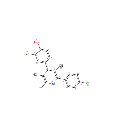 CC1=C(C#N)C(c2ccc(O)c(Cl)c2)C(C#N)=C(c2ccc(Cl)cc2)N1